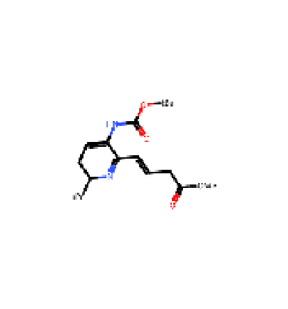 CCCC1CC=C(NC(=O)OC(C)(C)C)C(/C=C/CC(=O)OC)=N1